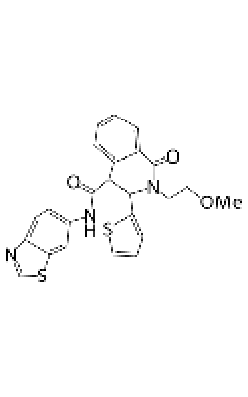 COCCN1C(=O)c2ccccc2C(C(=O)Nc2ccc3ncsc3c2)C1c1cccs1